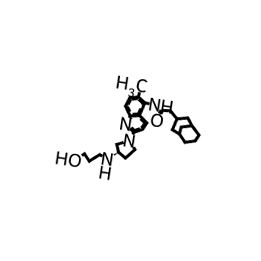 Cc1ccc2nc(N3CC[C@H](NCCCO)C3)ccc2c1NC(=O)CC1CC2CCCC(C2)C1